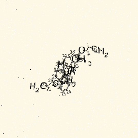 C=CCOC1CC[C@@]2(C)C(CC[C@@H]3[C@H]2CC[C@]2(C)C(OCC=C)(c4ccccc4)CC[C@@]32O)C1